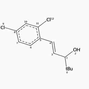 CC(C)(C)C(O)/C=C/c1ccc(Cl)cc1Cl